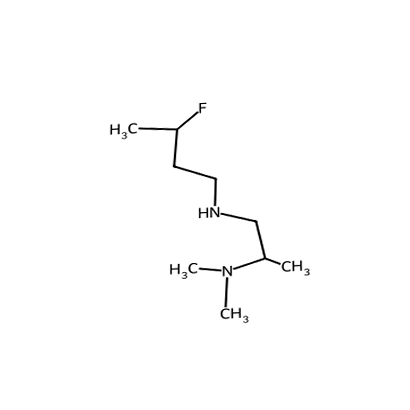 CC(F)CCNCC(C)N(C)C